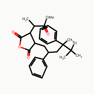 CCC(C)(C)C(C)(CC(CC1C(=O)OC(=O)C1C(C)C(=O)OC)c1ccccc1)c1ccccc1